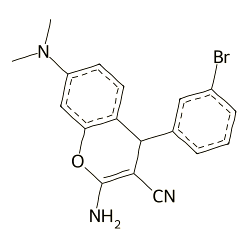 CN(C)c1ccc2c(c1)OC(N)=C(C#N)C2c1cccc(Br)c1